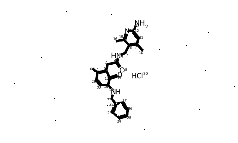 CC1=C(CC(=O)NCc2c(C)cc(N)nc2C)C(=O)C(NCc2ccccc2)C=C1.Cl